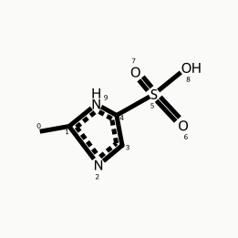 Cc1ncc(S(=O)(=O)O)[nH]1